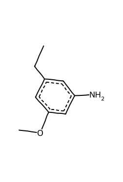 CCc1cc(N)cc(OC)c1